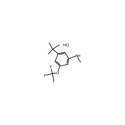 CNc1cc(OC(F)(F)F)cc(C(C)(C)C)c1.Cl